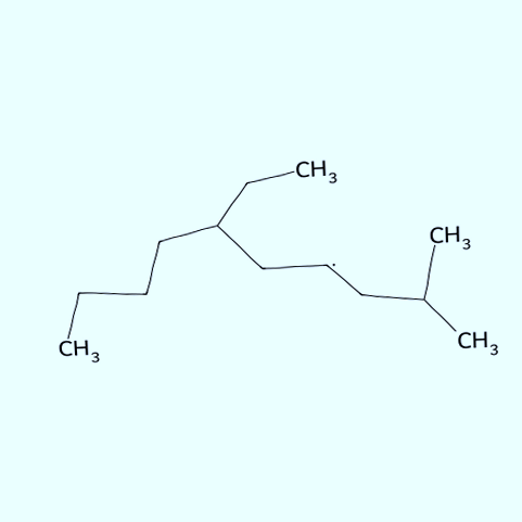 CCCCC(CC)C[CH]CC(C)C